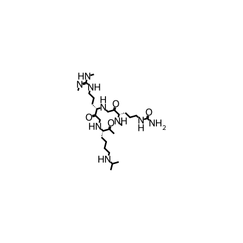 C/N=C(/NC)NCCC[C@H](NCC(=O)[C@H](CCCNC(N)=O)NC)C(=O)CN[C@@H](CCCCNC(C)C)C(C)=O